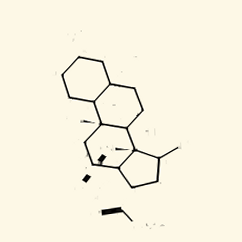 COC(=O)[C@H]1CC(I)[C@@]2(N=C=O)[C@@H]3CC[C@@H]4C[C@@H](OC(C)=O)CC[C@]4(C)[C@H]3CC[C@]12C